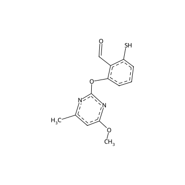 COc1cc(C)nc(Oc2cccc(S)c2C=O)n1